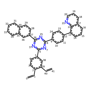 C=Cc1ccc(-c2nc(-c3ccc(-c4cccc5cccnc45)cc3)nc(-c3ccc4ccccc4c3)n2)cc1C=C